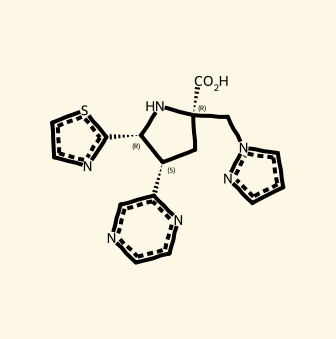 O=C(O)[C@]1(Cn2cccn2)C[C@H](c2cnccn2)[C@H](c2nccs2)N1